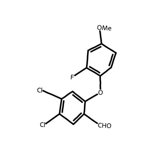 COc1ccc(Oc2cc(Cl)c(Cl)cc2C=O)c(F)c1